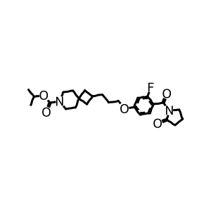 CC(C)OC(=O)N1CCC2(CC1)CC(CCCOc1ccc(C(=O)N3CCCC3=O)c(F)c1)C2